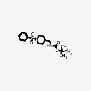 CC(C)(C)OC(=O)NCC1CCN(S(=O)(=O)c2ccccc2)CC1